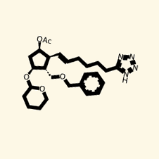 CC(=O)O[C@@H]1C[C@H](OC2CCCCO2)[C@@H](COCc2ccccc2)[C@@H]1C=CCCCCc1nnn[nH]1